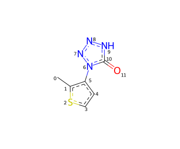 Cc1sccc1-n1nn[nH]c1=O